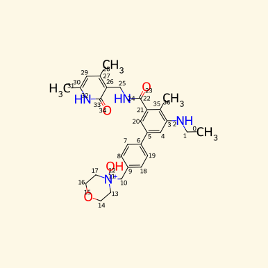 CCNc1cc(-c2ccc(C[N+]3(O)CCOCC3)cc2)cc(C(=O)NCc2c(C)cc(C)[nH]c2=O)c1C